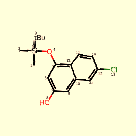 CC(C)(C)[Si](C)(C)Oc1cc(O)cc2cc(Cl)ccc12